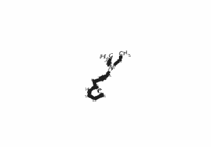 CCN(CC)CC#CC[C]1CCCCC1